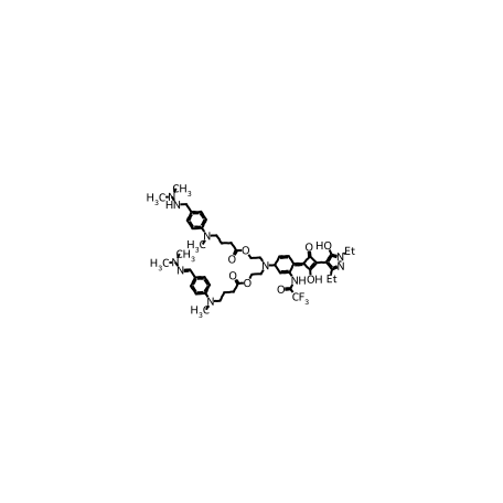 CCc1nn(CC)c(O)c1C1=C(O)/C(=C2/C=CC(N(CCOC(=O)CCCN(C)c3ccc(/C=N/N(C)C)cc3)CCOC(=O)CCCN(C)c3ccc(CNN(C)C)cc3)C=C2NC(=O)C(F)(F)F)C1=O